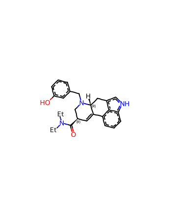 CCN(CC)C(=O)[C@@H]1C=C2c3cccc4[nH]cc(c34)C[C@H]2N(Cc2cccc(O)c2)C1